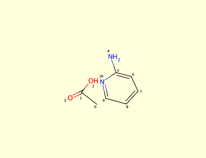 CC(=O)O.Nc1ccccn1